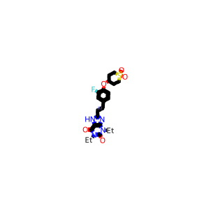 CCn1c(=O)c2[nH]c(/C=C/c3ccc(OC4CCS(=O)(=O)CC4)c(F)c3)nc2n(CC)c1=O